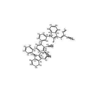 C=C/C(C#N)=C\c1c(C)n(-c2cccc(-c3cc(-c4ccccc4-n4c5c(c6c4CCC=C6)CCC=C5)cc(C#N)c3C#N)c2)c2ccccc12